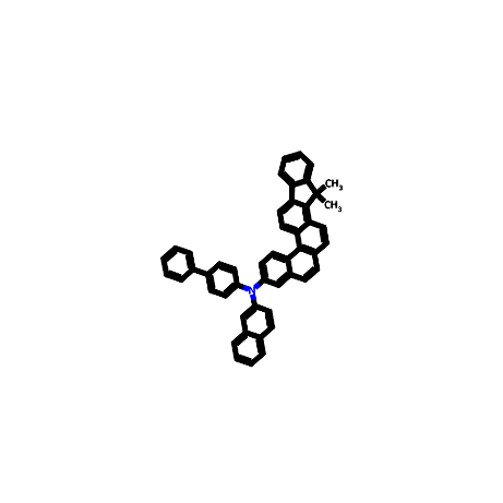 CC1(C)c2ccccc2-c2ccc3c(ccc4ccc5cc(N(c6ccc(-c7ccccc7)cc6)c6ccc7ccccc7c6)ccc5c43)c21